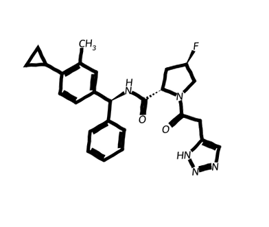 Cc1cc([C@@H](NC(=O)[C@@H]2C[C@@H](F)CN2C(=O)Cc2cnn[nH]2)c2ccccc2)ccc1C1CC1